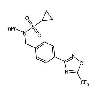 CCCN(Cc1ccc(-c2noc(C(F)(F)F)n2)cc1)S(=O)(=O)C1CC1